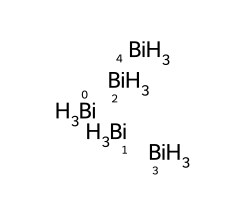 [BiH3].[BiH3].[BiH3].[BiH3].[BiH3]